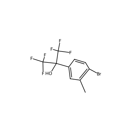 Cc1cc(C(O)(C(F)(F)F)C(F)(F)F)ccc1Br